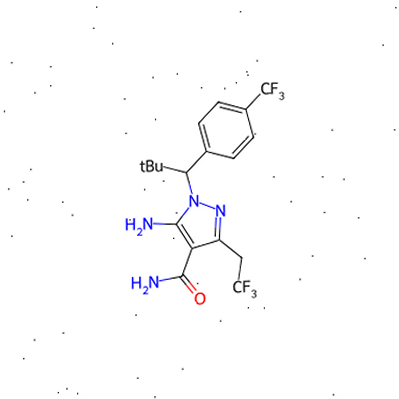 CC(C)(C)C(c1ccc(C(F)(F)F)cc1)n1nc(CC(F)(F)F)c(C(N)=O)c1N